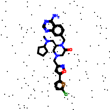 CN(C[C@@H]1CN(Cc2cc(-c3ccc(Cl)s3)on2)CC(=O)N1Cc1ccc2c(N)ncnc2c1)C1CCCC1